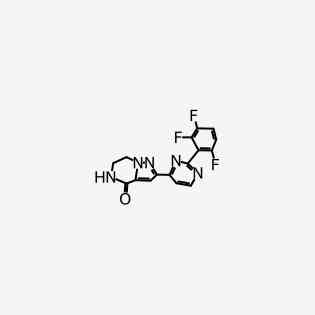 O=C1NCCn2nc(-c3ccnc(-c4c(F)ccc(F)c4F)n3)cc21